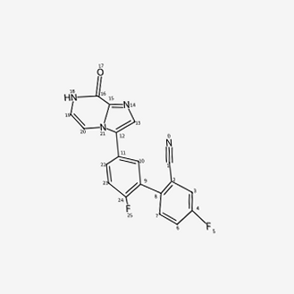 N#Cc1cc(F)ccc1-c1cc(-c2cnc3c(=O)[nH]ccn23)ccc1F